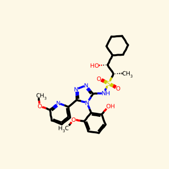 COC1=NC(c2nnc(NS(=O)(=O)[C@@H](C)[C@H](O)C3CCCCC3)n2-c2c(O)cccc2OC)=C=C=C1